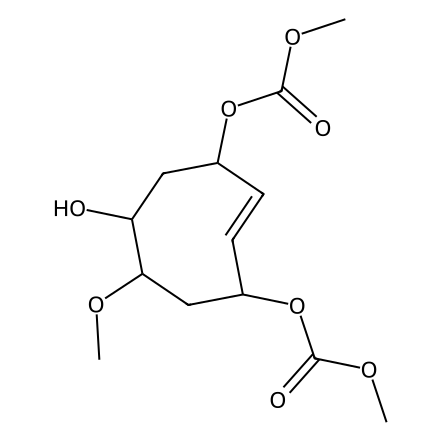 COC(=O)OC1/C=C/C(OC(=O)OC)CC(OC)C(O)C1